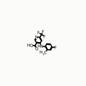 Cc1cc(F)ccc1Nc1cc(C(F)(F)F)ncc1C(=O)O